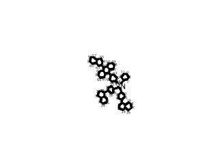 c1ccc(-c2nc(-c3ccc(-c4cccc5ccccc45)cc3)c(-c3ccc(-c4cccc5ccccc45)cc3)n2-c2ccc(-c3c4ccccc4c(-c4ccc5ccccc5c4)c4ccccc34)cc2)cc1